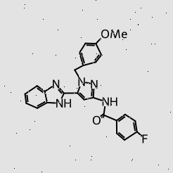 COc1ccc(Cn2nc(NC(=O)c3ccc(F)cc3)cc2-c2nc3ccccc3[nH]2)cc1